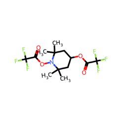 CC1(C)CC(OC(=O)C(F)(F)F)CC(C)(C)N1OC(=O)C(F)(F)F